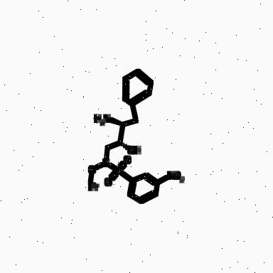 CC(C)ON(C[C@@H](O)[C@@H](N)Cc1ccccc1)S(=O)(=O)c1cccc([N+](=O)[O-])c1